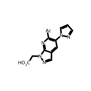 CC(=O)c1nc2c(cnn2CC(=O)O)cc1-n1cccn1